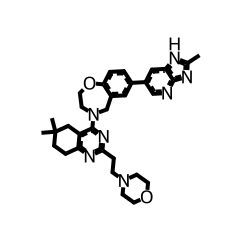 Cc1nc2ncc(-c3ccc4c(c3)CN(c3nc(CCN5CCOCC5)nc5c3CC(C)(C)CC5)CCO4)cc2[nH]1